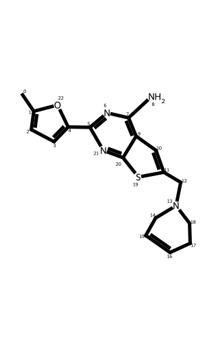 Cc1ccc(-c2nc(N)c3cc(CN4CC=CCC4)sc3n2)o1